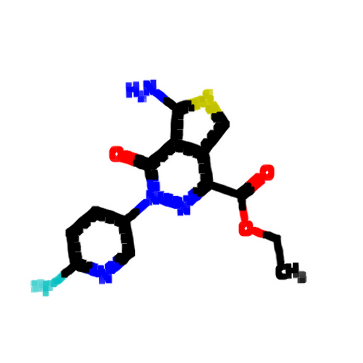 CCOC(=O)c1nn(-c2ccc([18F])nc2)c(=O)c2c(N)scc12